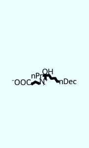 CCCCCCCCCCCCCCC(O)(CCC)C[N+](C)(C)CCCC(=O)[O-]